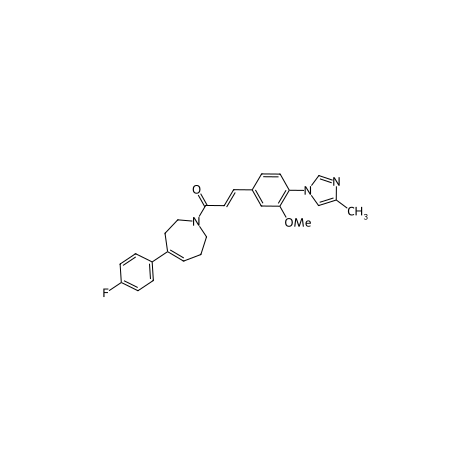 COc1cc(/C=C/C(=O)N2CCC=C(c3ccc(F)cc3)CC2)ccc1-n1cnc(C)c1